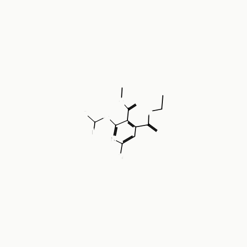 C=C(OCC)c1cc(Br)nc(OC(F)F)c1C(=O)OC